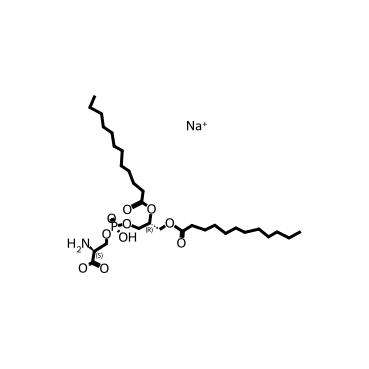 CCCCCCCCCCCC(=O)OC[C@H](COP(=O)(O)OC[C@H](N)C(=O)[O-])OC(=O)CCCCCCCCCCC.[Na+]